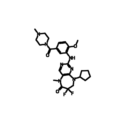 COc1ccc(C(=O)N2CCN(C)CC2)cc1Nc1ncc2c(n1)N(C1CCCC1)CC(F)(F)C(=O)N2C